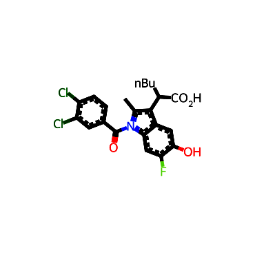 CCCCC(C(=O)O)c1c(C)n(C(=O)c2ccc(Cl)c(Cl)c2)c2cc(F)c(O)cc12